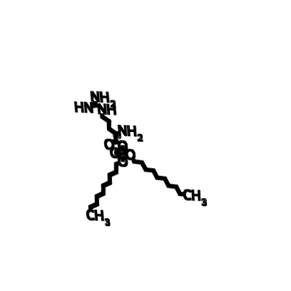 CCCCCCCCCCOP(=O)(OCCCCCCCCCC)OC(=O)[C@@H](N)CCCNC(=N)N